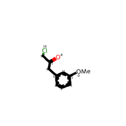 COc1cccc(CC(=O)CCl)c1